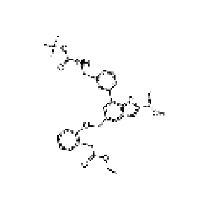 CCOC(=O)Cc1ccccc1OCc1cc(-c2cccc(CNC(=O)OC(C)(C)C)c2)c2oc(C(=O)O)cc2c1